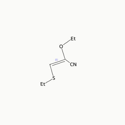 CCO/C(C#N)=C/SCC